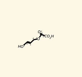 O=C(O)C(=O)OCC=CO